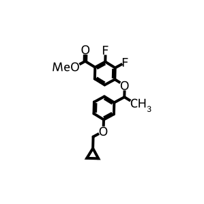 COC(=O)c1ccc(OC(C)c2cccc(OCC3CC3)c2)c(F)c1F